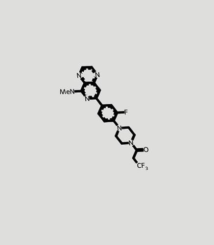 CNc1nc(-c2ccc(N3CCN(C(=O)CC(F)(F)F)CC3)c(F)c2)cc2nccnc12